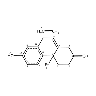 C=C.CCC12CCC(=O)CC1=CCc1cc(O)ccc12